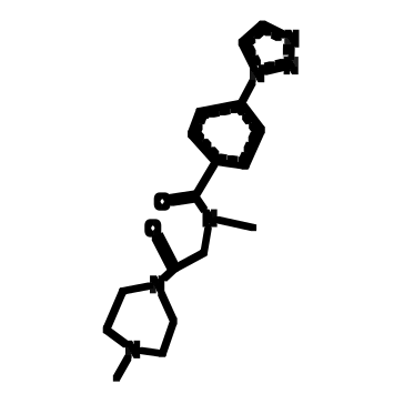 CN1CCN(C(=O)CN(C)C(=O)c2ccc(-n3ccnn3)cc2)CC1